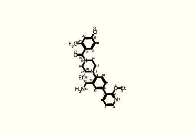 CCOc1ncccc1-c1ccc(N2CCN(C(=O)c3ccc(Cl)cc3C(F)(F)F)C[C@H]2CC)c(CN)c1